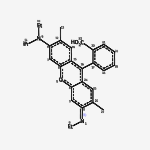 CC/N=c1\cc2oc3cc(N(CC)C(C)C)c(C)cc3c(-c3ccccc3C(=O)O)c-2cc1C